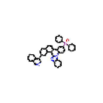 O=P(c1ccccc1)(c1ccccc1)c1ccc2c(c1)c1ccc3ccc(-c4cncc5ccccc45)cc3c1c1nc3ccccc3n21